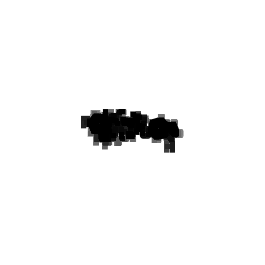 CCn1c(Oc2ccc3cc[nH]c3c2)nnc1[C@@H](C)NS(=O)(=O)c1ccc(F)cc1C(F)(F)F